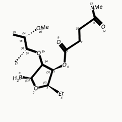 B[C@@H]1O[C@H](CC)[C@H](OC(=O)CCC(=O)NC)C1O[C@H](C)[C@H](C)OC